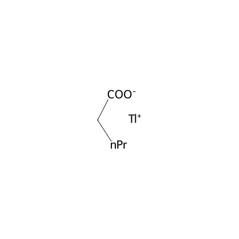 CCCCC(=O)[O-].[Tl+]